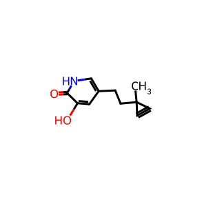 CC1(CCc2c[nH]c(=O)c(O)c2)C#C1